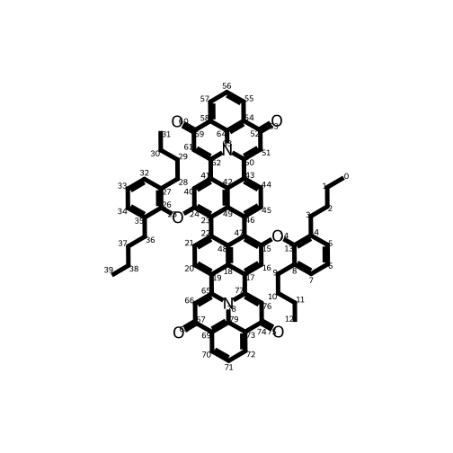 CCCCc1cccc(CCCC)c1Oc1cc2c3c(ccc4c5c(Oc6c(CCCC)cccc6CCCC)cc6c7c(ccc(c1c43)c57)c1cc(=O)c3cccc4c(=O)cc6n1c34)c1cc(=O)c3cccc4c(=O)cc2n1c34